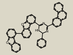 c1ccc(C2N=C(c3ccc4ccc5ccccc5c4c3)N=C(c3cccc4oc5c(-c6cccc7oc8ccccc8c67)cccc5c34)N2)cc1